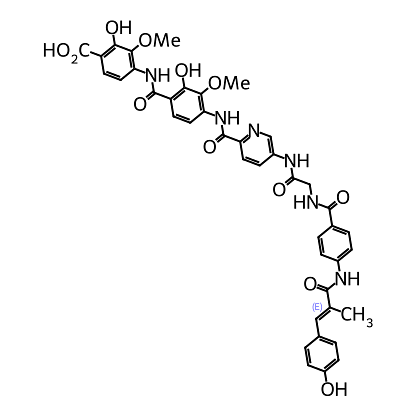 COc1c(NC(=O)c2ccc(NC(=O)c3ccc(NC(=O)CNC(=O)c4ccc(NC(=O)/C(C)=C/c5ccc(O)cc5)cc4)cn3)c(OC)c2O)ccc(C(=O)O)c1O